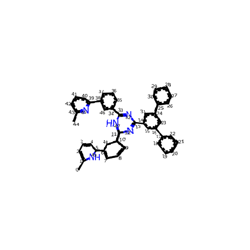 CC1=CC=CC(C2=CC=CC(C3N=C(c4cc(-c5ccccc5)cc(-c5ccccc5)c4)N=C(c4cccc(-c5cccc(C)n5)c4)N3)C2)N1